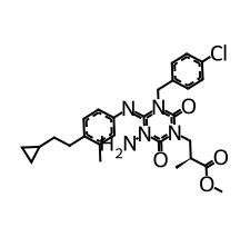 COC(=O)[C@@H](C)Cn1c(=O)n(N)/c(=N\c2ccc(CCC3CC3)c(C)c2)n(Cc2ccc(Cl)cc2)c1=O